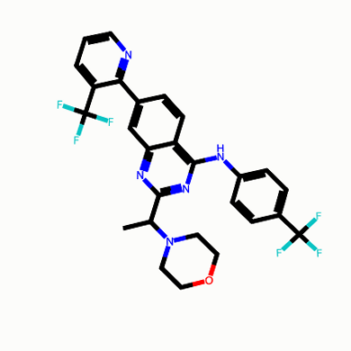 CC(c1nc(Nc2ccc(C(F)(F)F)cc2)c2ccc(-c3ncccc3C(F)(F)F)cc2n1)N1CCOCC1